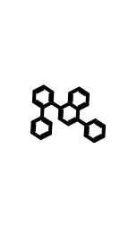 c1ccc(-c2ccccc2-c2ccc(-c3ccccc3)c3ccccc23)cc1